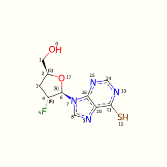 OC[C@@H]1C[C@@H](F)[C@H](n2cnc3c(S)ncnc32)O1